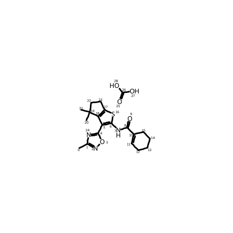 Cc1noc(-c2c(NC(=O)C3=CCCCC3)sc3c2C(C)(C)CC3)n1.O=C(O)O